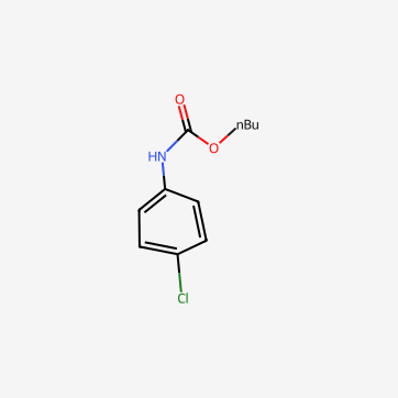 CCCCOC(=O)Nc1ccc(Cl)cc1